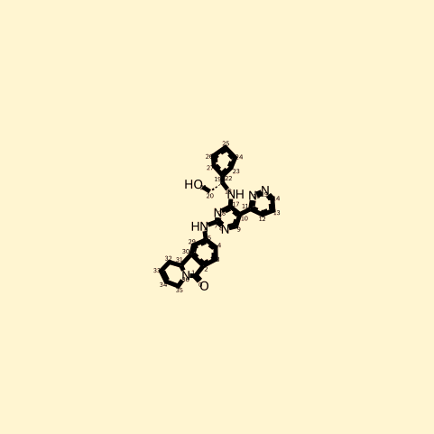 O=C1c2ccc(Nc3ncc(-c4cccnn4)c(N[C@H](CO)c4ccccc4)n3)cc2C2CC=CCN12